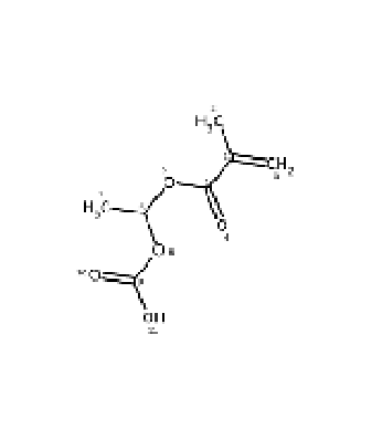 C=C(C)C(=O)OC(C)OC(=O)O